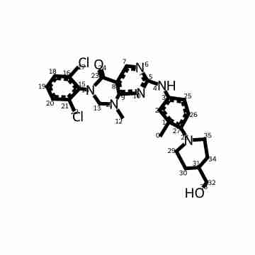 Cc1cc(Nc2ncc3c(n2)N(C)CN(c2c(Cl)cccc2Cl)C3=O)ccc1N1CCC(CO)CC1